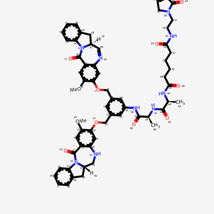 COc1cc2c(cc1OCc1cc(COc3cc4c(cc3OC)C(=O)N3c5ccccc5C[C@H]3CN4)cc(NC(=O)[C@H](C)NC(=O)[C@H](C)NC(=O)CCCCC(=O)NCCN3CC=CC3=O)c1)N=C[C@@H]1Cc3ccccc3N1C2=O